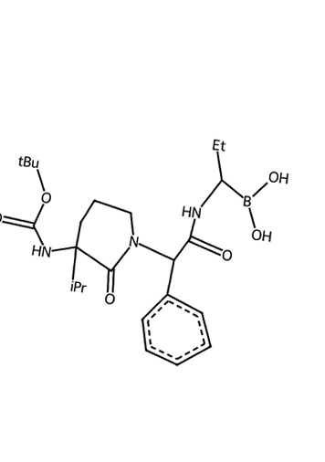 CCC(NC(=O)C(c1ccccc1)N1CCCC(NC(=O)OC(C)(C)C)(C(C)C)C1=O)B(O)O